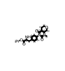 CC(C)OC(=O)[C@@H](N)Cc1ccc(-n2c(=O)c3c(n(C)c2=O)COCC3)cc1